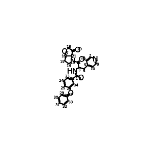 O=C(NC(Cc1ccncc1)C(=O)N1CCC2OCC(=O)C21)c1cccc(Oc2ccccc2)c1